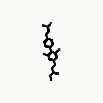 COC(=O)CCc1cc(C)c(-c2ccc(CC=C(F)F)cc2)c(Cl)c1